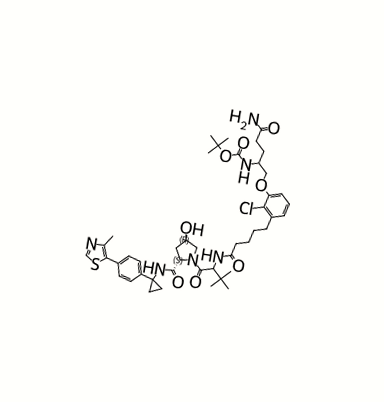 Cc1ncsc1-c1ccc(C2(NC(=O)[C@@H]3C[C@@H](O)CN3C(=O)C(NC(=O)CCCCc3cccc(OCC(CCC(N)=O)NC(=O)OC(C)(C)C)c3Cl)C(C)(C)C)CC2)cc1